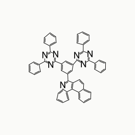 c1ccc(-c2nc(-c3ccccc3)nc(-c3cc(-c4nc(-c5ccccc5)nc(-c5ccccc5)n4)cc(-c4nc5ccccc5c5c4ccc4ccccc45)c3)n2)cc1